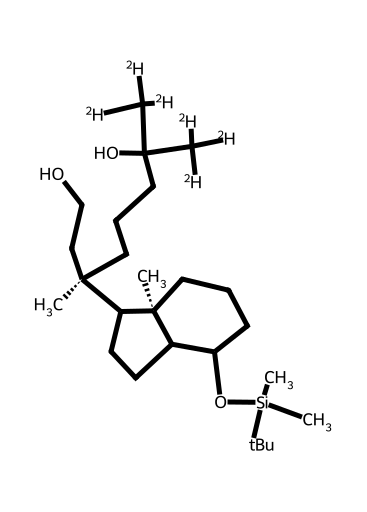 [2H]C([2H])([2H])C(O)(CCC[C@](C)(CCO)C1CCC2C(O[Si](C)(C)C(C)(C)C)CCC[C@@]21C)C([2H])([2H])[2H]